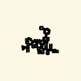 CCC[C@H](NC(=O)[C@@H]1C[C@]2(CC(c3cccc(Cl)c3)=NO2)CN1C(=O)[C@@H](NC(=O)NC(C)(C)C)C(C)(C)C)C(=O)C(=O)NC1CC1